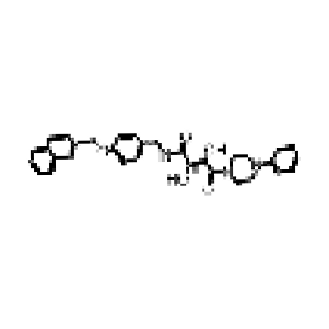 O=C(NCc1ccc(OCc2ccc3ccccc3c2)cc1)[C@H](O)[C@@H](O)C(=O)N1CCN(c2ccccc2)CC1